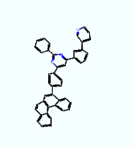 c1ccc(-c2nc(-c3ccc(-c4cc5ccc6ccccc6c5c5ccccc45)cc3)cc(-c3cccc(-c4cccnc4)c3)n2)cc1